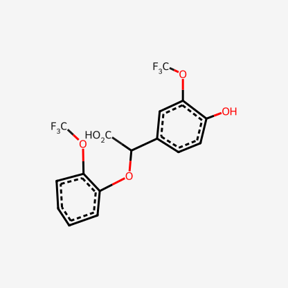 O=C(O)C(Oc1ccccc1OC(F)(F)F)c1ccc(O)c(OC(F)(F)F)c1